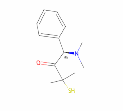 CN(C)[C@@H](C(=O)C(C)(C)S)c1ccccc1